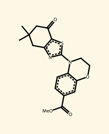 COC(=O)c1ccc2c(c1)OCCN2c1nc2c(s1)C(=O)CC(C)(C)C2